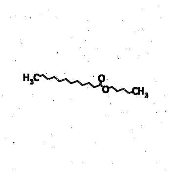 CCCCCCCCCCCC(=O)OCCCCC